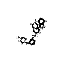 CCN1CCN(Cc2cccc(OC[C@@H]3CC[C@@]4(c5noc6ccccc56)CNCCN4C3)c2)CC1